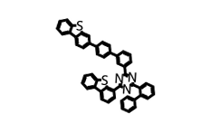 c1ccc(-c2ccccc2-c2nc(-c3cccc(-c4ccc(-c5ccc6c(c5)sc5ccccc56)cc4)c3)nc(-c3cccc4c3sc3ccccc34)n2)cc1